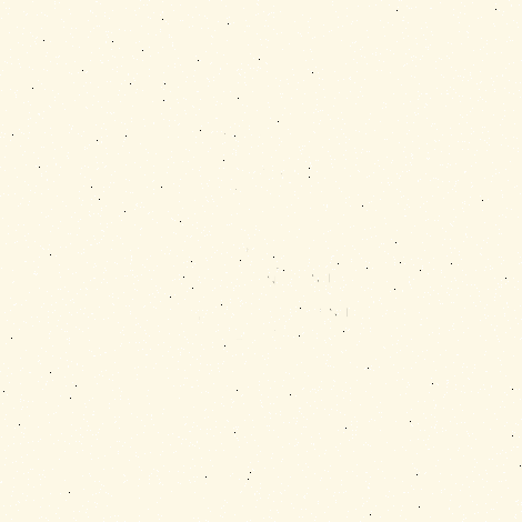 COC(=O)C1=CNNN1CCC1(C)OCCO1